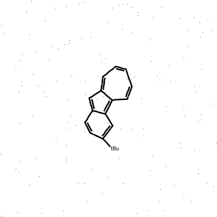 CC(C)(C)c1ccc2cc3cccccc-3c2c1